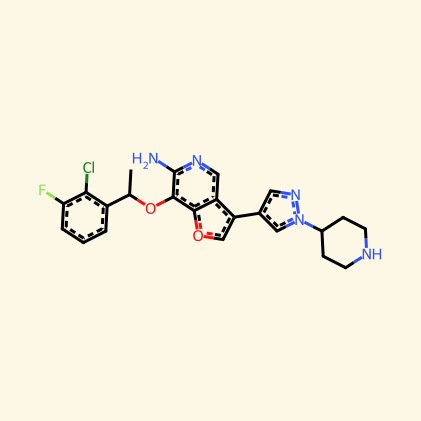 CC(Oc1c(N)ncc2c(-c3cnn(C4CCNCC4)c3)coc12)c1cccc(F)c1Cl